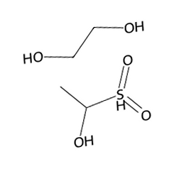 CC(O)[SH](=O)=O.OCCO